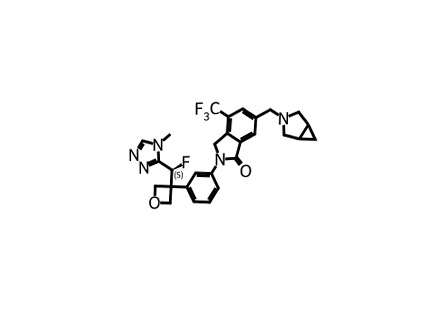 Cn1cnnc1[C@@H](F)C1(c2cccc(N3Cc4c(cc(CN5CC6CC6C5)cc4C(F)(F)F)C3=O)c2)COC1